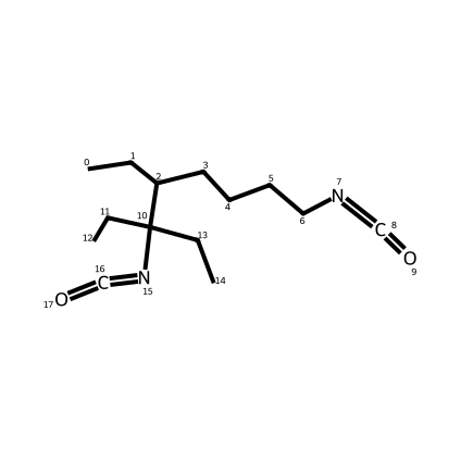 CCC(CCCCN=C=O)C(CC)(CC)N=C=O